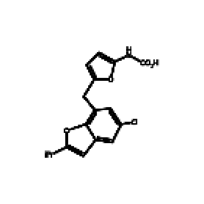 CC(C)c1cc2cc(Cl)cc(Cc3ccc(NC(=O)O)o3)c2o1